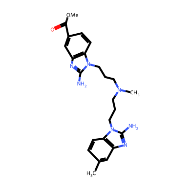 COC(=O)c1ccc2c(c1)nc(N)n2CCCN(C)CCCn1c(N)nc2cc(C)ccc21